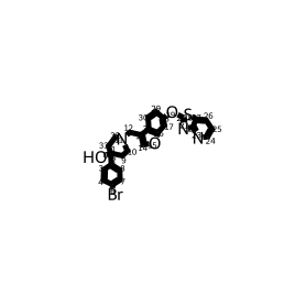 OC1(c2ccc(Br)cc2)CCN(Cc2coc3cc(Oc4nc5ncccc5s4)ccc23)CC1